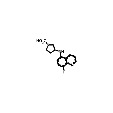 O=C(O)N1CCC(Nc2ccc(F)c3ncccc23)C1